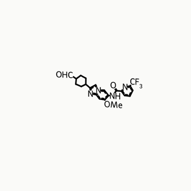 COc1cc2nc(C3CCC(C=O)CC3)cn2cc1NC(=O)c1cccc(C(F)(F)F)n1